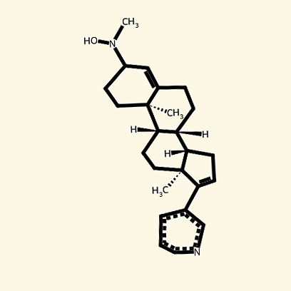 CN(O)C1C=C2CC[C@H]3[C@H](CC[C@]4(C)C(c5cccnc5)=CC[C@@H]34)[C@@]2(C)CC1